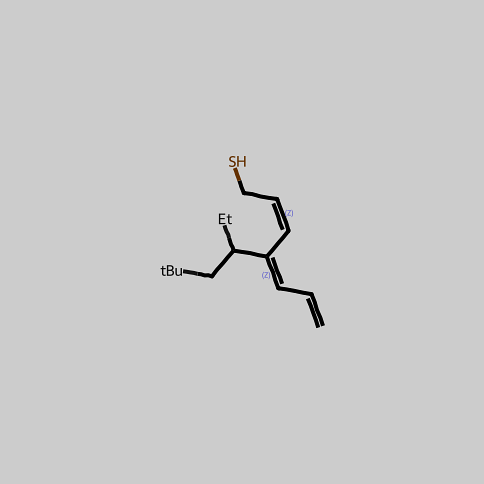 C=C/C=C(\C=C/CS)C(CC)CC(C)(C)C